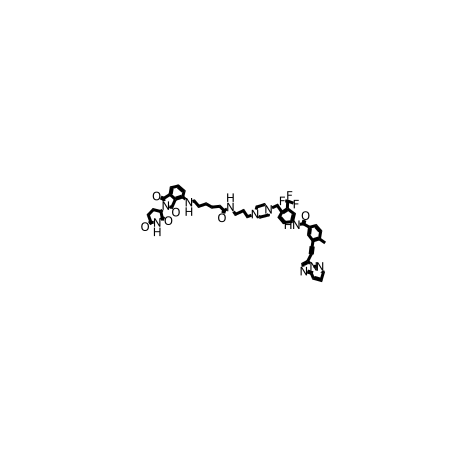 Cc1ccc(C(=O)Nc2ccc(CN3CCN(CCCNC(=O)CCCCCNc4cccc5c4C(=O)N(C4CCC(=O)NC4=O)C5=O)CC3)c(C(F)(F)F)c2)cc1C#Cc1cnc2cccnn12